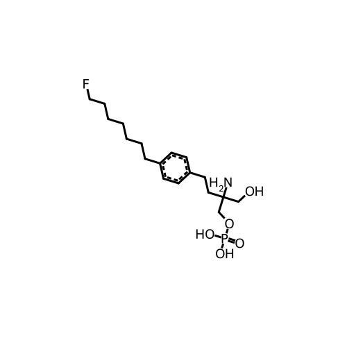 NC(CO)(CCc1ccc(CCCCCCCF)cc1)COP(=O)(O)O